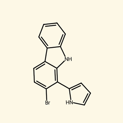 Brc1ccc2c([nH]c3ccccc32)c1-c1ccc[nH]1